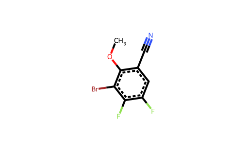 COc1c(C#N)cc(F)c(F)c1Br